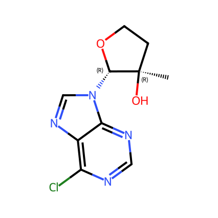 C[C@@]1(O)CCO[C@H]1n1cnc2c(Cl)ncnc21